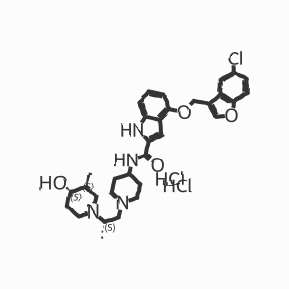 C[C@H]1CN([C@@H](C)CN2CCC(NC(=O)c3cc4c(OCc5coc6ccc(Cl)cc56)cccc4[nH]3)CC2)CC[C@@H]1O.Cl.Cl